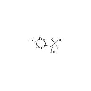 CC(C)(O)C(C(=O)O)c1ccc(Cl)cc1